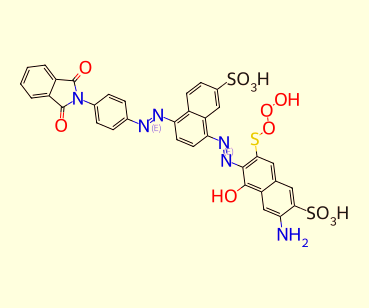 Nc1cc2c(O)c(/N=N/c3ccc(/N=N/c4ccc(N5C(=O)c6ccccc6C5=O)cc4)c4ccc(S(=O)(=O)O)cc34)c(SOOO)cc2cc1S(=O)(=O)O